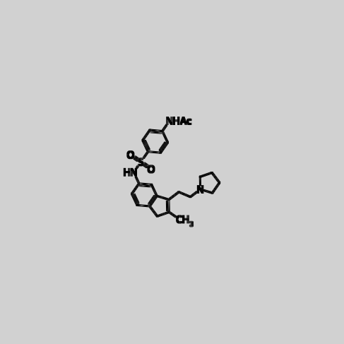 CC(=O)Nc1ccc(S(=O)(=O)Nc2ccc3c(c2)C(CCN2CCCC2)=C(C)C3)cc1